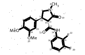 COc1ccc([C@H]2CN(C)C(=O)[C@@H]2C(=O)Nc2cccc(F)c2F)cc1OC